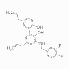 C=CCc1ccc(O)c(-c2cc(CC=C)cc(NCc3ccc(F)c(F)c3)c2O)c1